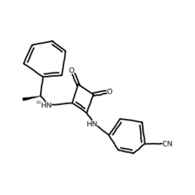 C[C@H](Nc1c(Nc2ccc(C#N)cc2)c(=O)c1=O)c1ccccc1